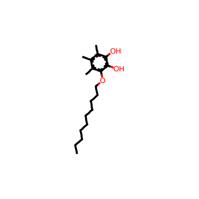 CCCCCCCCCCOc1c(C)c(C)c(C)c(O)c1O